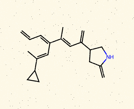 C=C/C=C(\C=C(/C)C1CC1)C(/C)=C/C(=C)C1CNC(=C)C1